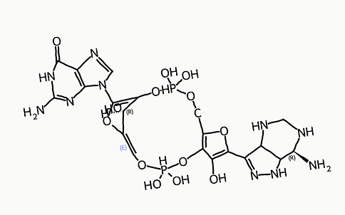 Nc1nc2c(ncn2C2=C3O[PH](O)(O)OCc4oc(C5=NNC6C5NCN[C@H]6N)c(O)c4O[PH](O)(O)O/C=C(/O2)[C@H]3O)c(=O)[nH]1